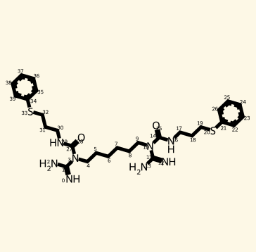 N=C(N)N(CCCCCCN(C(=N)N)C(=O)NCCCSc1ccccc1)C(=O)NCCCSc1ccccc1